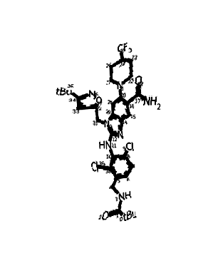 CC(C)(C)C(=O)NCc1ccc(Cl)c(Nc2nc3cc(C(N)=O)c(N4CCC(C(F)(F)F)CC4)cc3n2Cc2cc(C(C)(C)C)no2)c1Cl